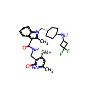 CSc1cc(C)[nH]c(=O)c1CNC(=O)c1c(C)n(C[C@H]2CC[C@H](NC3CC(F)(F)C3)CC2)c2ccccc12